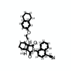 C[C@]12CC[C@](CCOc3ccc4c(c3)CCCC4)(O1)[C@@H]1C(=O)N(c3ccc(C#N)c4ccccc34)C(=O)[C@@H]12